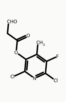 Cc1c(F)c(Cl)nc(Cl)c1OC(=O)CC=O